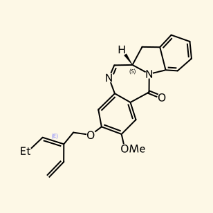 C=C/C(=C\CC)COc1cc2c(cc1OC)C(=O)N1c3ccccc3C[C@H]1C=N2